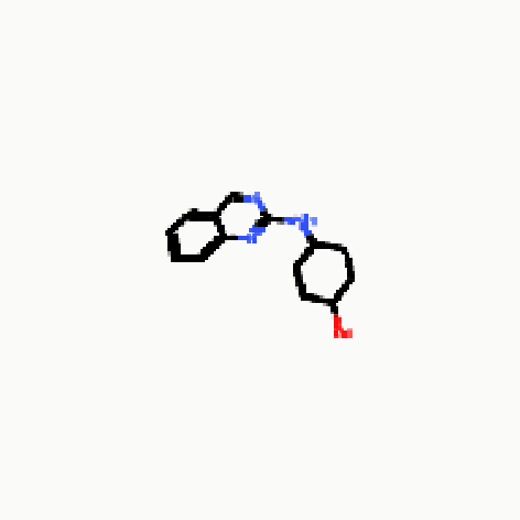 OC1CCC(Nc2ncc3ccccc3n2)CC1